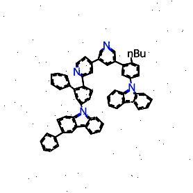 CCCCc1ccc(-n2c3ccccc3c3ccccc32)cc1-c1cncc(-c2ccnc(-c3ccc(-n4c5ccccc5c5cc(-c6ccccc6)ccc54)cc3-c3ccccc3)c2)c1